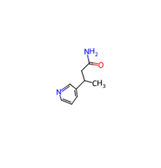 CC(CC(N)=O)c1cccnc1